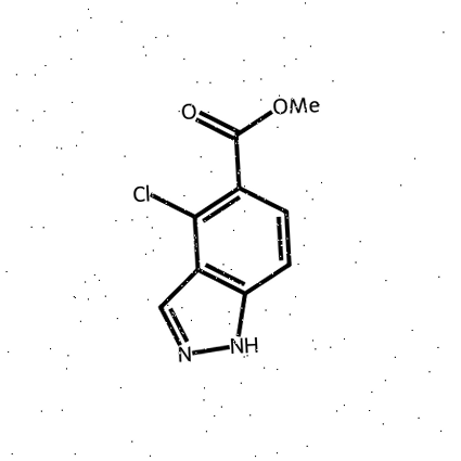 COC(=O)c1ccc2[nH]ncc2c1Cl